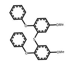 COc1ccc(Oc2ccccc2)c(Sc2cc(OC)ccc2Oc2ccccc2)c1